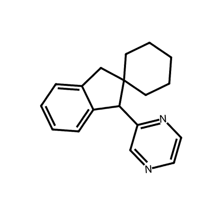 c1ccc2c(c1)CC1(CCCCC1)C2c1cnccn1